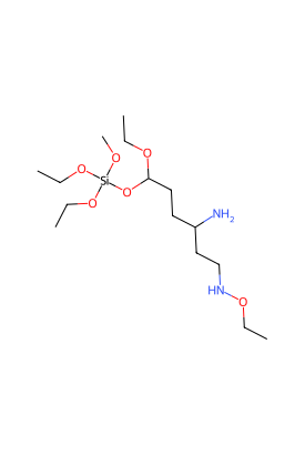 CCONCCC(N)CCC(OCC)O[Si](OC)(OCC)OCC